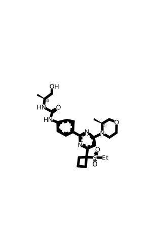 CCS(=O)(=O)C1(c2cc(N3CCOC[C@@H]3C)nc(-c3ccc(NC(=O)N[C@@H](C)CO)cc3)n2)CCC1